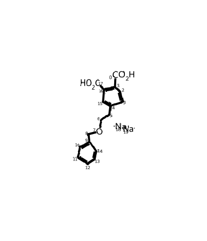 O=C(O)c1ccc(CCOCc2ccccc2)cc1C(=O)O.[Na].[Na]